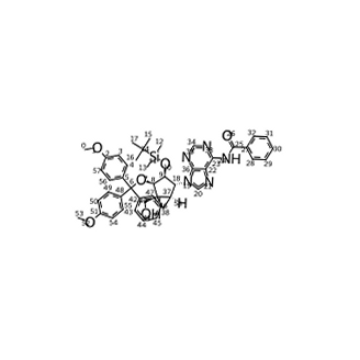 COc1ccc(C(O[C@H]2[C@@H](O[Si](C)(C)C(C)(C)C)[C@H](n3cnc4c(NC(=O)c5ccccc5)ncnc43)[C@H]3C[C@@]32CO)(c2ccccc2)c2ccc(OC)cc2)cc1